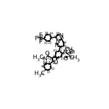 CNC(=O)c1c(-c2ccc(C)cc2)oc2cc(N(C)S(C)(=O)=O)c(-c3ccc4ncc(-c5ccc(C(F)(F)F)cc5)n4n3)cc12